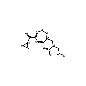 C=C(C1=CCC=C(CC(CCC)C(C)=O)C=N1)C1CC1